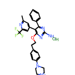 Cc1cc(-c2c(OCCc3ccc(N4CCNCC4)cc3)nc(N)nc2-c2ccccc2)cc(C(F)(F)F)n1.Cl